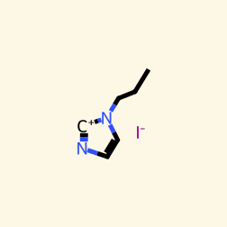 CCCN1[C+]=NC=C1.[I-]